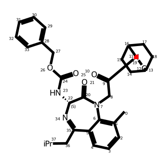 Cc1cccc2c1N(CC(=O)N1CC3CCC(CC3)C1)C(=O)[C@@H](NC(=O)OCc1ccccc1)N=C2CC(C)C